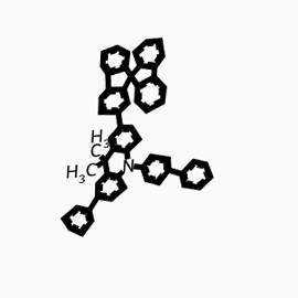 CC1(C)c2cc(-c3ccccc3)ccc2N(c2ccc(-c3ccccc3)cc2)c2ccc(-c3ccc4c(c3)C3(c5ccccc5-c5ccccc53)c3ccccc3-4)cc21